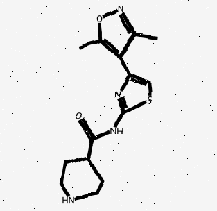 Cc1noc(C)c1-c1csc(NC(=O)C2CCNCC2)n1